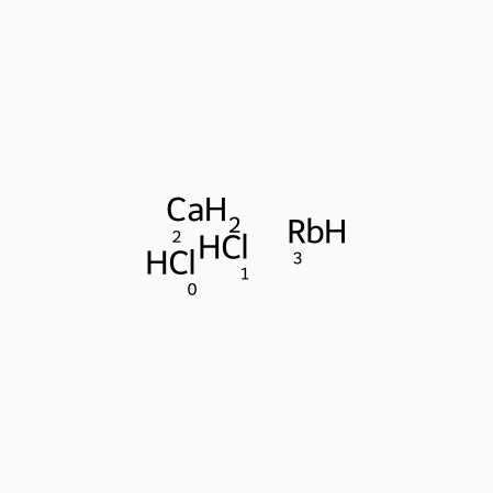 Cl.Cl.[CaH2].[RbH]